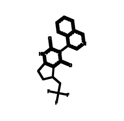 O=c1[nH]c2c(c(=O)n1-c1cncc3ccccc13)C(CC(F)(F)F)CC2